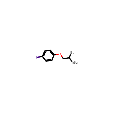 CCCCC(CC)COc1ccc(I)cc1